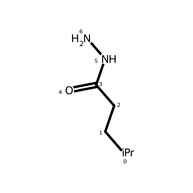 CC(C)C[CH]C(=O)NN